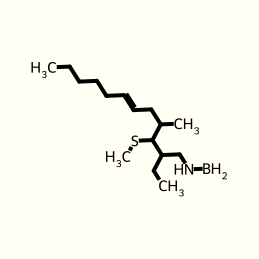 BNCC(CC)C(SC)C(C)C/C=C/CCCCC